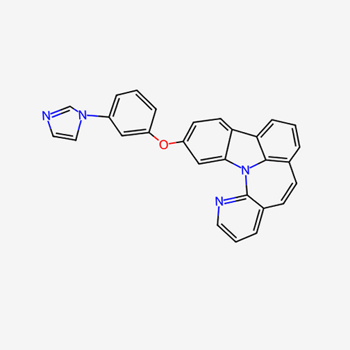 C1=Cc2cccc3c4ccc(Oc5cccc(-n6ccnc6)c5)cc4n(c23)-c2ncccc21